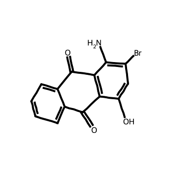 Nc1c(Br)cc(O)c2c1C(=O)c1ccccc1C2=O